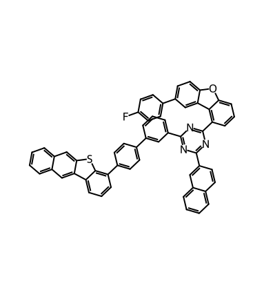 Fc1ccc(-c2ccc3oc4cccc(-c5nc(-c6cccc(-c7ccc(-c8cccc9c8sc8cc%10ccccc%10cc89)cc7)c6)nc(-c6ccc7ccccc7c6)n5)c4c3c2)cc1